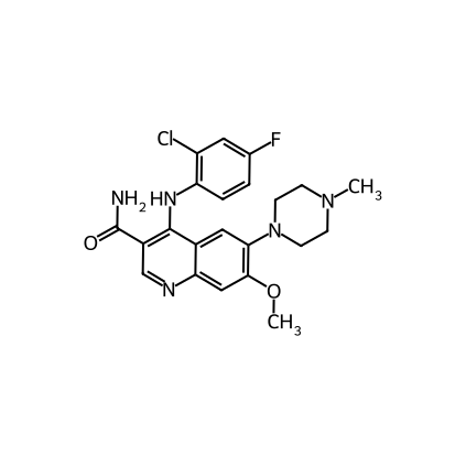 COc1cc2ncc(C(N)=O)c(Nc3ccc(F)cc3Cl)c2cc1N1CCN(C)CC1